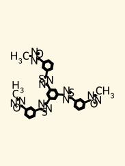 Cc1noc(-c2cccc(-c3nc(-c4cc(-c5nsc(-c6cccc(-c7nc(C)no7)c6)n5)cc(-c5nsc(-c6cccc(-c7nc(C)no7)c6)n5)c4)ns3)c2)n1